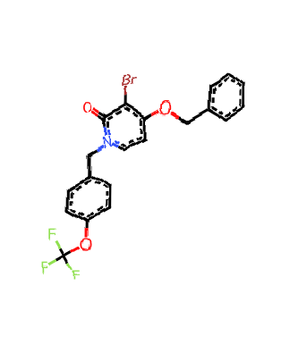 O=c1c(Br)c(OCc2ccccc2)ccn1Cc1ccc(OC(F)(F)F)cc1